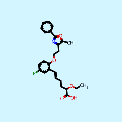 CCOC(CCC=Cc1cc(F)ccc1OCCc1nc(-c2ccccc2)oc1C)C(=O)O